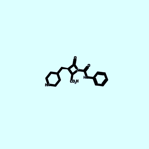 O=C(O)C1[C@@H](CC2CCNCC2)C(=O)N1C(=O)Nc1ccccc1